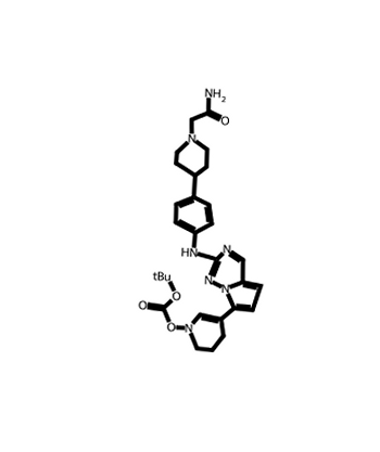 CC(C)(C)OC(=O)ON1C=C(c2ccc3cnc(Nc4ccc(C5CCN(CC(N)=O)CC5)cc4)nn23)CCC1